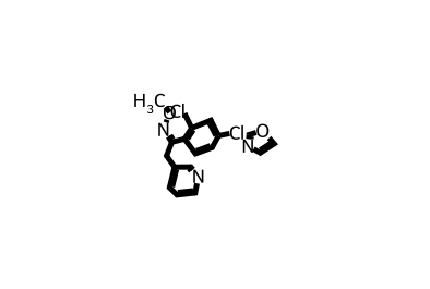 CO/N=C(/Cc1cccnc1)c1ccc(Cl)cc1Cl.c1cocn1